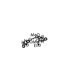 CCC(=O)CCC(=O)N1C[C@@H]2Cc3ccccc3N2C(=O)c2cc(OC)c(OCCCCCOc3cc4c(cc3OC)C(=O)N3c5ccccc5C[C@H]3C=N4)cc21